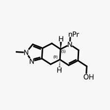 CCCN1CC(CO)=C[C@H]2Cc3nn(C)cc3C[C@@H]21